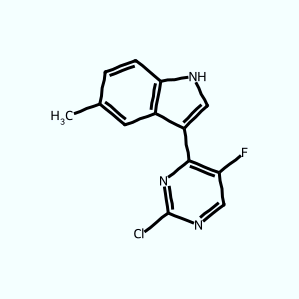 Cc1ccc2[nH]cc(-c3nc(Cl)ncc3F)c2c1